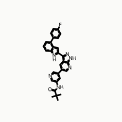 CC(C)(C)C(=O)Nc1cncc(-c2cnc3[nH]nc(-c4cc5c(-c6ccc(F)cc6)cccc5[nH]4)c3c2)c1